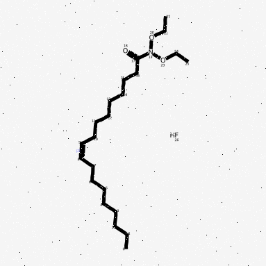 CCCCCCCC/C=C\CCCCCCCC(=O)N(OCC)OCC.F